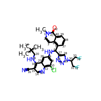 Cn1ccc2c(C(Nc3cc(Cl)c4ncc(C#N)c(NCC(C)(C)C)c4c3)c3cn(C(CF)CF)nn3)cccc2c1=O